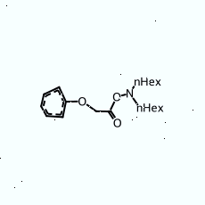 CCCCCCN(CCCCCC)OC(=O)COc1ccccc1